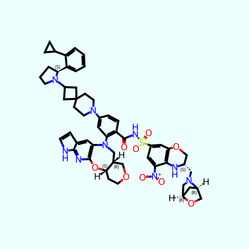 O=C(NS(=O)(=O)c1cc2c(c([N+](=O)[O-])c1)N[C@@H](CN1C[C@H]3C[C@@H]1CO3)CO2)c1ccc(N2CCC3(CC2)CC(N2CCC[C@H]2c2ccccc2C2CC2)C3)cc1N1C[C@@H]2COCC[C@@H]2Oc2nc3[nH]ccc3cc21